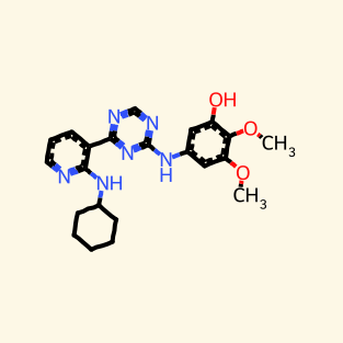 COc1cc(Nc2ncnc(-c3cccnc3NC3CCCCC3)n2)cc(O)c1OC